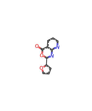 O=c1oc(-c2ccco2)nc2ncccc12